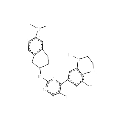 CC(C)N1CCOc2c(F)cc(-c3nc(NC4CCc5cc(N(C)C)ccc5C4)ncc3F)cc21